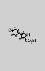 CCOC(=O)c1[nH]cc(C2=CCC(=O)CC2)c1F